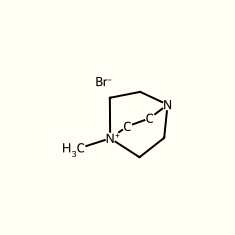 C[N+]12CCN(CC1)CC2.[Br-]